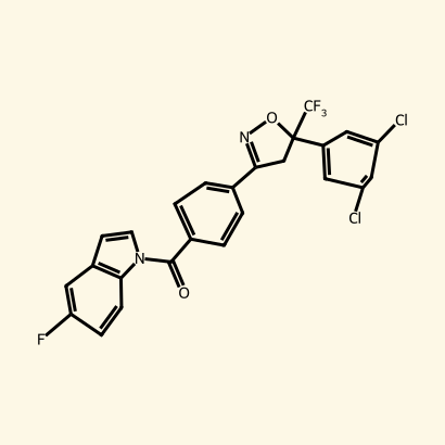 O=C(c1ccc(C2=NOC(c3cc(Cl)cc(Cl)c3)(C(F)(F)F)C2)cc1)n1ccc2cc(F)ccc21